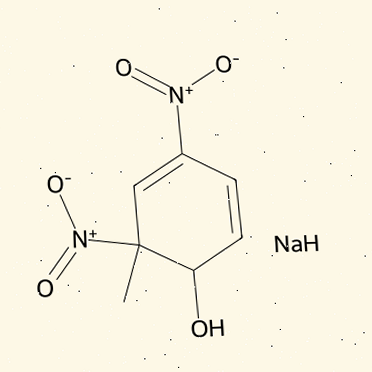 CC1([N+](=O)[O-])C=C([N+](=O)[O-])C=CC1O.[NaH]